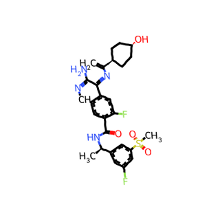 C=C(/N=C(\C(N)=N/C)c1ccc(C(=O)N[C@H](C)c2cc(F)cc(S(C)(=O)=O)c2)c(F)c1)[C@H]1CC[C@H](O)CC1